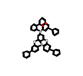 c1ccc(-c2cccc(N(c3cc4c5c(c3)Oc3cc(-c6ccccc6)ccc3B5c3ccc(-c5ccccc5)cc3O4)c3ccccc3-c3ccccc3)c2)cc1